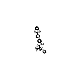 O=C(Nc1ccc(N2CCC(C(=O)Nc3ccccc3F)CC2)nc1)c1oc(N2CCCCC2)nc1C(F)(F)F